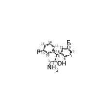 NC[C@H](O)C(c1cccc(F)c1)c1cccc(F)c1